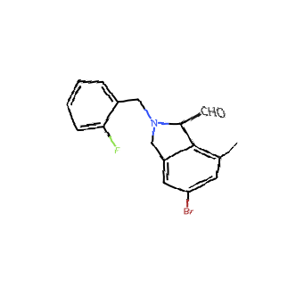 Cc1cc(Br)cc2c1C(C=O)N(Cc1ccccc1F)C2